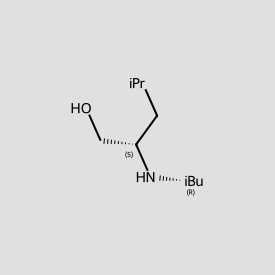 CC[C@@H](C)N[C@H](CO)CC(C)C